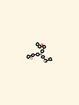 c1ccc2c(c1)ccc1c2oc2cccc(-c3ccc(N(c4ccc(-c5ccc6c(c5)oc5ccccc56)cc4)c4ccc(-c5cccc6c5sc5ccccc56)cc4)cc3)c21